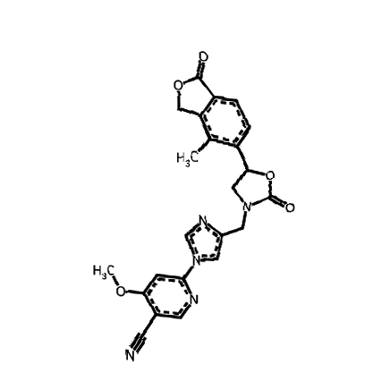 COc1cc(-n2cnc(CN3CC(c4ccc5c(c4C)COC5=O)OC3=O)c2)ncc1C#N